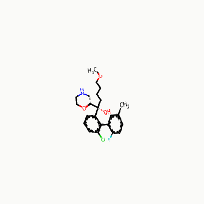 COCCCC[C@@](O)(c1cccc(Cl)c1-c1cc(C)ccc1F)[C@H]1CNCCO1